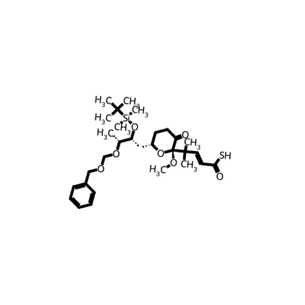 CO[C@@]1(C(C)(C)/C=C/C(=O)S)O[C@H](C[C@@H](O[Si](C)(C)C(C)(C)C)[C@@H](C)OCOCc2ccccc2)CCC1=O